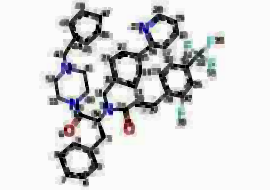 O=C([C@H](Cc1ccccc1)N(Cc1ccc(-c2ccccn2)cc1)C(=O)/C=C/c1ccc(C(F)(F)F)cc1F)N1CCN(Cc2ccccc2)CC1